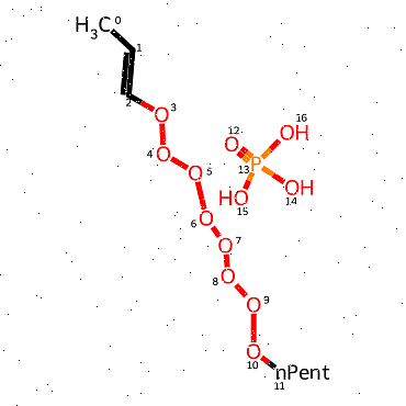 CC=COOOOOOOOCCCCC.O=P(O)(O)O